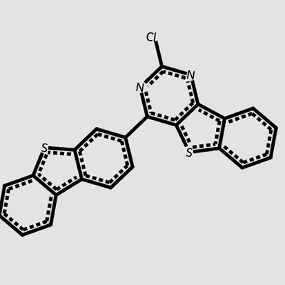 Clc1nc(-c2ccc3c(c2)sc2ccccc23)c2sc3ccccc3c2n1